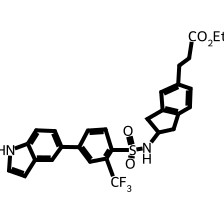 CCOC(=O)CCc1ccc2c(c1)CC(NS(=O)(=O)c1ccc(-c3ccc4[nH]ccc4c3)cc1C(F)(F)F)C2